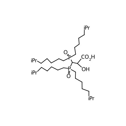 CC(C)CCCCCP(=O)(CCCCCC(C)C)C(C(O)C(=O)O)P(=O)(CCCCCC(C)C)CCCCCC(C)C